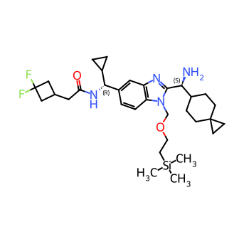 C[Si](C)(C)CCOCn1c([C@@H](N)C2CCC3(CC2)CC3)nc2cc([C@H](NC(=O)CC3CC(F)(F)C3)C3CC3)ccc21